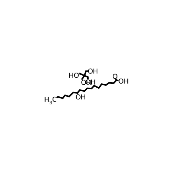 CCCCCCC(O)CCCCCCCCCCC(=O)O.OCC(CO)(CO)CO